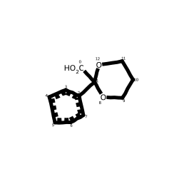 O=C(O)C1(c2ccccc2)OC[CH]CO1